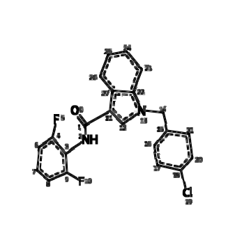 O=C(Nc1c(F)cccc1F)c1cn(Cc2ccc(Cl)cc2)c2ccccc12